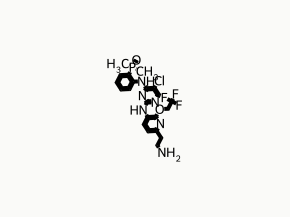 CP(C)(=O)c1ccccc1Nc1nc(Nc2ccc(CCN)nc2OCC(F)(F)F)ncc1Cl